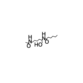 CCCCCC(=O)NC(CO)CCCCNC(C)=O